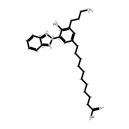 CCCCc1cc(CCCCCCCCCCC(=O)O)cc(-n2nc3ccccc3n2)c1O